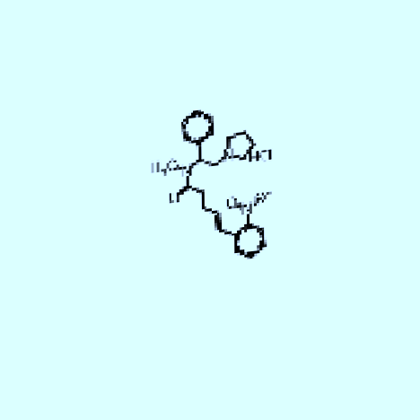 CN(C(=O)CCC=Cc1ccccc1[N+](=O)[O-])[C@H](CN1CCCC1)c1ccccc1.Cl